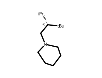 CC(C)[C@@H](CN1CCCCC1)C(C)(C)C